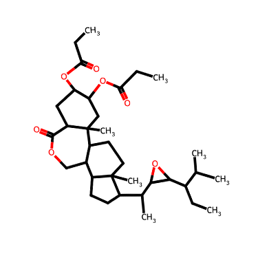 CCC(=O)OC1CC2C(=O)OCC3C(CCC4(C)C(C(C)C5OC5C(CC)C(C)C)CCC34)C2(C)CC1OC(=O)CC